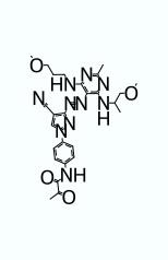 COCCCNc1nc(C)nc(NC(C)COC)c1N=Nc1nn(-c2ccc(NC(=O)C(C)=O)cc2)cc1C#N